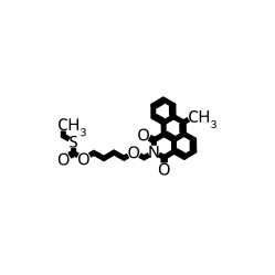 CCSC(=O)OCCCCOCN1C(=O)c2cccc3c(C)c4ccccc4c(c23)C1=O